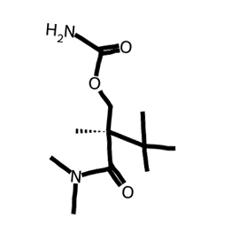 CN(C)C(=O)[C@@](C)(COC(N)=O)C(C)(C)C